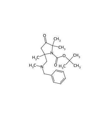 CN(Cc1ccccc1)CC1(C)CC(=O)C(C)(C)N1C(=O)OC(C)(C)C